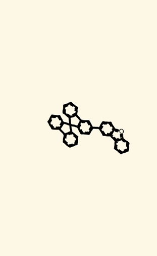 c1ccc2c(c1)-c1ccccc1C21c2ccccc2-c2cc(-c3ccc4oc5ccccc5c4c3)ccc21